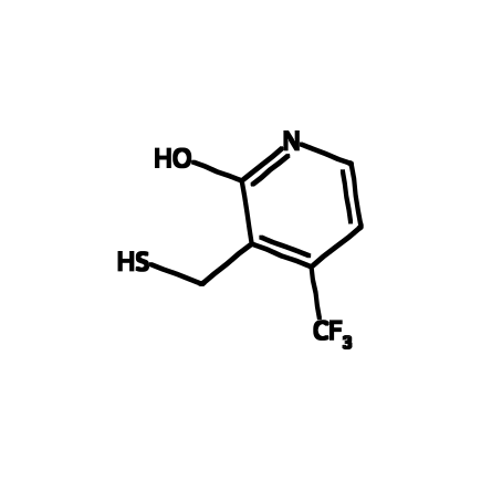 Oc1nccc(C(F)(F)F)c1CS